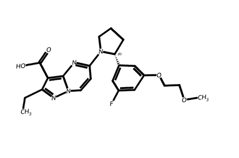 CCc1nn2ccc(N3CCC[C@@H]3c3cc(F)cc(OCCOC)c3)nc2c1C(=O)O